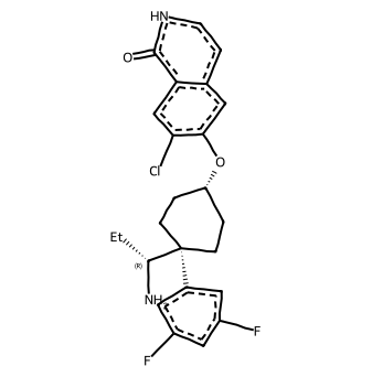 CC[C@@H](N)[C@]1(c2cc(F)cc(F)c2)CC[C@@H](Oc2cc3cc[nH]c(=O)c3cc2Cl)CC1